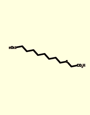 CCCCCCCCCCCCCCCCSCC(=O)O